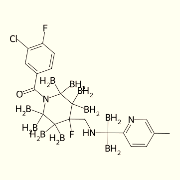 BC(B)(NCC1(F)C(B)(B)C(B)(B)N(C(=O)c2ccc(F)c(Cl)c2)C(B)(B)C1(B)B)c1ccc(C)cn1